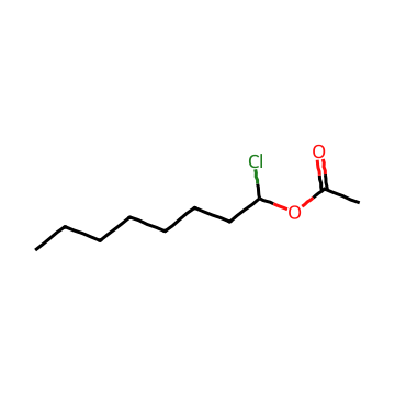 CCCCCCCC(Cl)OC(C)=O